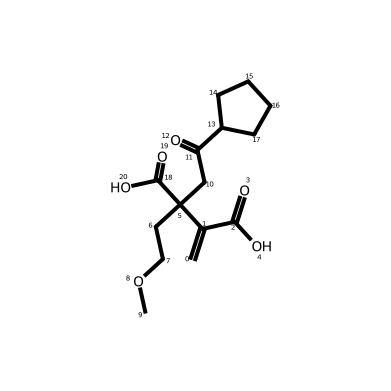 C=C(C(=O)O)C(CCOC)(CC(=O)C1CCCC1)C(=O)O